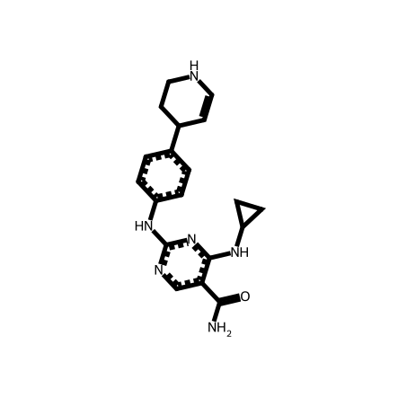 NC(=O)c1cnc(Nc2ccc(C3C=CNCC3)cc2)nc1NC1CC1